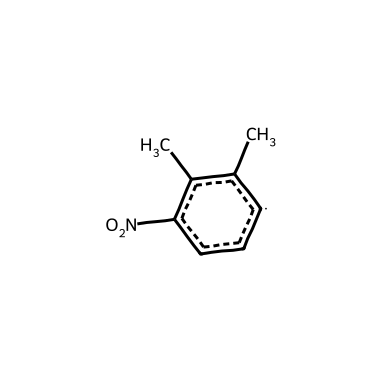 Cc1[c]ccc([N+](=O)[O-])c1C